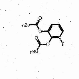 CCCCC(=O)Oc1cccc(F)c1OC(=O)CCCC